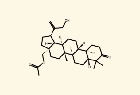 C=C(CO)[C@@H]1CC[C@]2(COC(C)=O)CC[C@]3(C)[C@H](CC[C@@H]4[C@@]5(C)CCC(=O)C(C)(C)[C@@H]5CC[C@]43C)[C@@H]12